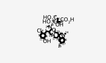 CN(C)C(=O)C(Cc1cc(O)ccc1Cl)CN1CCC2(CC1)CN(C)c1ccc(F)cc12.O=C(O)CC(O)(CC(=O)O)C(=O)O